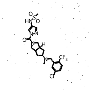 CN(Cc1cc(Cl)ccc1C(F)(F)F)[C@H]1CC2CN(C(=O)n3cc(NS(C)(=O)=O)cn3)C[C@@H]2C1